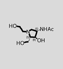 CC(=O)N[C@H]1CN(CCO)[C@@H](CO)[C@@H]1O